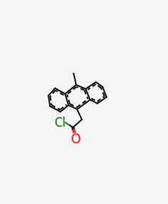 Cc1c2ccccc2c(CC(=O)Cl)c2ccccc12